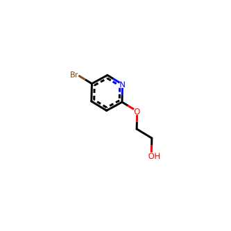 OCCOc1ccc(Br)cn1